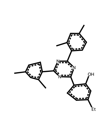 CCc1ccc(-c2nc(-c3ccc(C)cc3C)nc(-c3ccc(C)cc3C)n2)c(O)c1